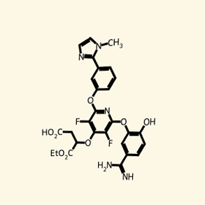 CCOC(=O)C(CC(=O)O)Oc1c(F)c(Oc2cccc(-c3nccn3C)c2)nc(Oc2cc(C(=N)N)ccc2O)c1F